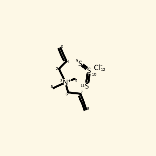 C=CC[N+](C)(C)CC=C.S=S=S.[Cl-]